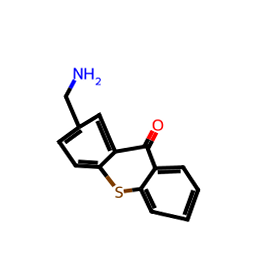 NCc1ccc2sc3ccccc3c(=O)c2c1